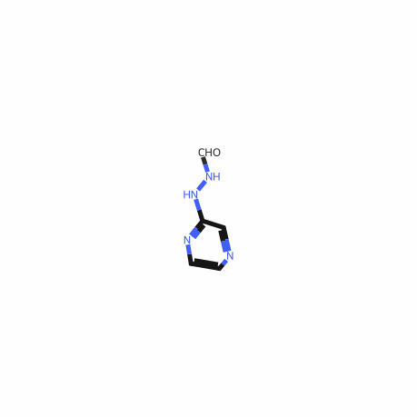 O=CNNc1cnccn1